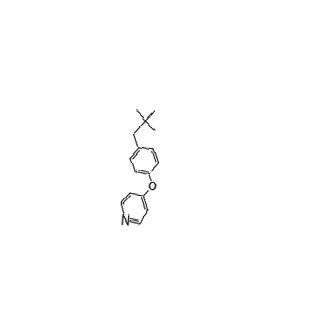 CC(C)(C)Cc1ccc(Oc2ccncc2)cc1